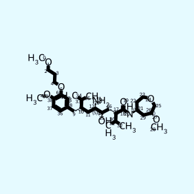 COCCCOc1cc(C[C@@H](C[C@H](N)[C@@H](O)C[C@H](C(=O)N[C@H]2CCOC[C@H](OC)C2)C(C)C)C(C)C)ccc1OC